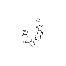 CN1CCC(Nc2cncc(-c3ccc4nnc(NC(=O)C5CCC5)cc4c3)n2)CC1